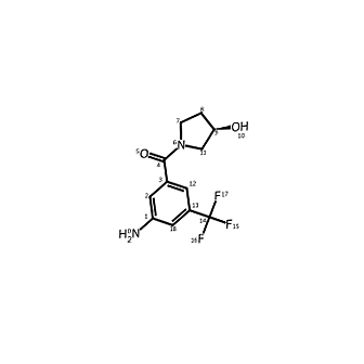 Nc1cc(C(=O)N2CC[C@@H](O)C2)cc(C(F)(F)F)c1